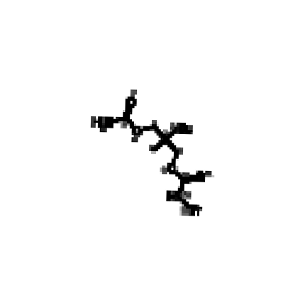 CCC(C)C(C)(COC(N)=O)COC(=O)NC(C)C